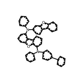 c1ccc(-c2ccc(N(c3ccccc3)c3cccc4c3oc3cccc(N(c5ccccc5)c5ccc6c(c5)oc5ccccc56)c34)cc2)cc1